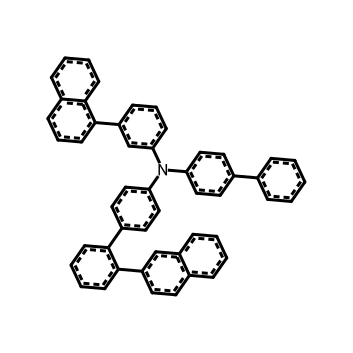 c1ccc(-c2ccc(N(c3ccc(-c4ccccc4-c4ccc5ccccc5c4)cc3)c3cccc(-c4cccc5ccccc45)c3)cc2)cc1